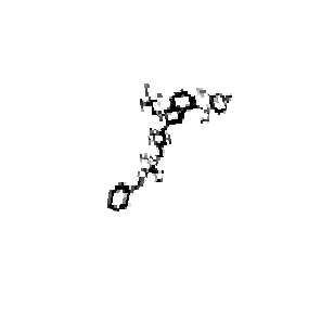 CN1CC[C@@H](Nc2cccc3c2cc(-c2nc(CNC(=O)OCc4ccccc4)no2)n3CC(F)(F)F)[C@@H](F)C1